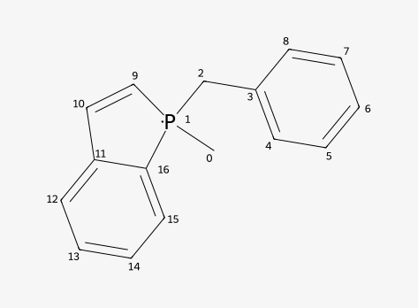 C[P]1(Cc2ccccc2)C=Cc2ccccc21